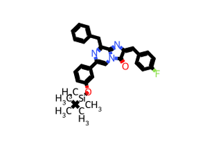 CC(C)(C)[Si](C)(C)Oc1cccc(C2=CN3C(=O)C(=Cc4ccc(F)cc4)N=C3C(Cc3ccccc3)=N2)c1